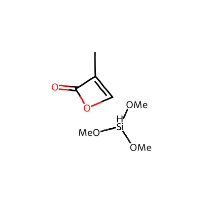 CC1=COC1=O.CO[SiH](OC)OC